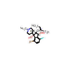 CN1CCC([C@@]2(O)c3c(Br)ccc(F)c3[C@@H](O)C2(C)C)CC1.O=C(O)/C=C/C(=O)O